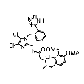 COc1ccc(CC(C)CCC(=O)[N]Cc2nc(Cl)c(Cl)n2Cc2ccccc2-c2nnn[nH]2)c(Cl)c1OC